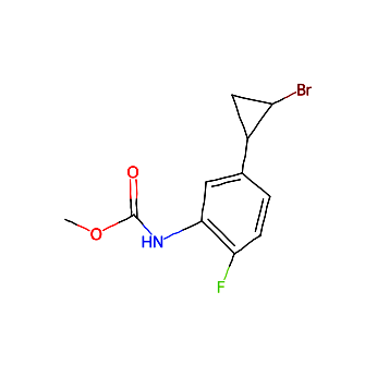 COC(=O)Nc1cc(C2CC2Br)ccc1F